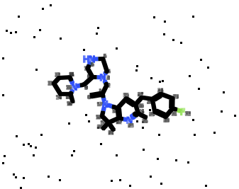 C=C(CN1CCNCC1CN1CCCCC1C)N1CC(C)(C)c2nc(C)c(Cc3ccc(F)cc3)cc21